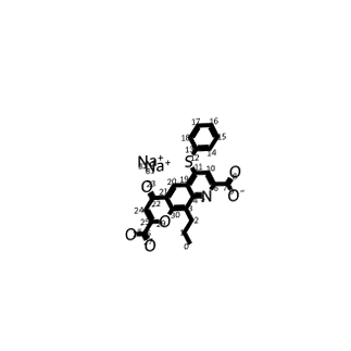 CCCc1c2nc(C(=O)[O-])cc(Sc3ccccc3)c2cc2c(=O)cc(C(=O)[O-])oc12.[Na+].[Na+]